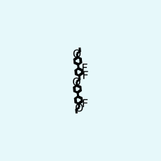 CCOc1ccc(-c2ccc(COc3ccc(-c4ccc(OCC)c(F)c4)cc3)c(F)c2F)cc1